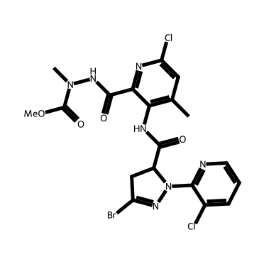 COC(=O)N(C)NC(=O)c1nc(Cl)cc(C)c1NC(=O)C1CC(Br)=NN1c1ncccc1Cl